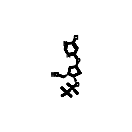 CC(C)(C)[Si](C)(C)O[C@H]1C[C@H](Oc2cc(Cl)ncn2)C[C@H]1CO